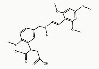 COc1cc(OC)c(/C=C/[S+]([O-])Cc2ccc(OC)c(C(CC(=O)O)C(=O)Cl)c2)c(OC)c1